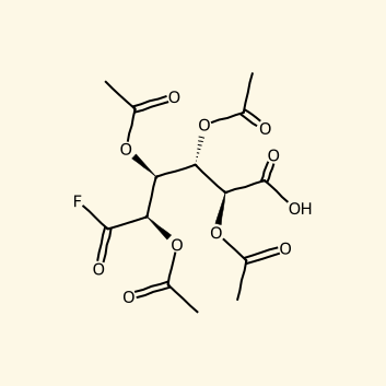 CC(=O)O[C@@H]([C@H](OC(C)=O)[C@@H](OC(C)=O)C(=O)F)[C@H](OC(C)=O)C(=O)O